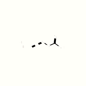 Cl.N=C(N)NN=C=S.[LiH]